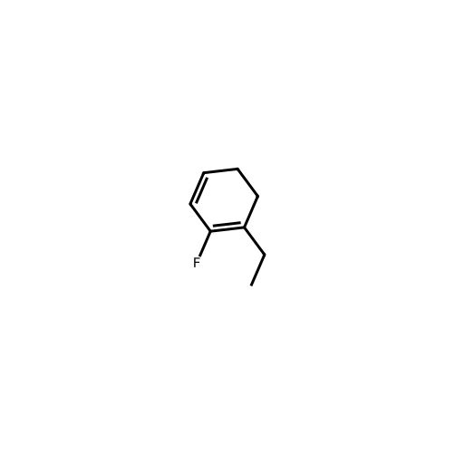 CCC1=C(F)C=CCC1